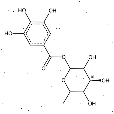 CC1OC(OC(=O)c2cc(O)c(O)c(O)c2)C(O)[C@@H](O)C1O